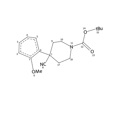 COc1ccccc1C1(C#N)CCN(C(=O)OC(C)(C)C)CC1